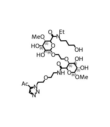 CCN(CCCCO)C(=O)C1O[C@@H](OCCO[C@@H]2C(C(=O)NCCOCCn3nncc3C(C)=O)O[C@@H](OC)[C@@H](O)[C@H]2O)[C@@H](O)[C@@H](O)[C@@H]1OC